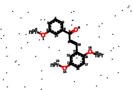 CCCOc1cccc(C(=O)C=Cc2cc(OCCC)ccc2OCCC)c1